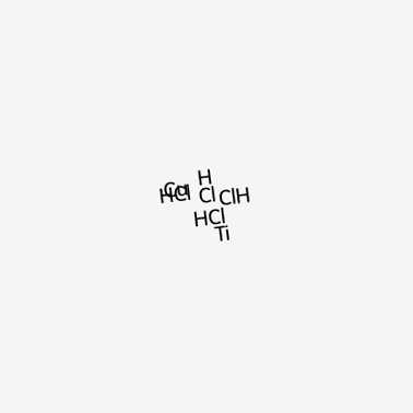 Cl.Cl.Cl.Cl.[Cu].[Ti]